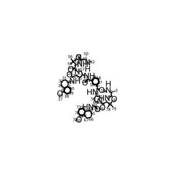 CN[C@@H](C)C(=O)N[C@H](C(=O)N1C[C@@H](NC(=O)c2cccc(C(=O)N[C@H]3C[C@@H](C(=O)NC4CCCc5c(OC)cccc54)N(C(=O)[C@@H](NC(=O)[C@H](C)NC)C(C)(C)C)C3)c2)C[C@H]1C(=O)NC1CCCc2c(OC)cccc21)C(C)(C)C